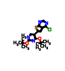 CC(C)(C)Oc1ncc(-c2cc3c(Cl)ncnc3s2)c(OC(C)(C)C)n1